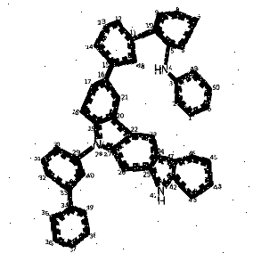 c1ccc(Nc2ccccc2-c2cccc(-c3ccc4c(c3)c3cc5c(cc3n4-c3cccc(-c4ccccc4)c3)[nH]c3ccccc35)c2)cc1